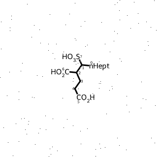 CCCCCCCC(C(CCC(=O)O)C(=O)O)S(=O)(=O)O